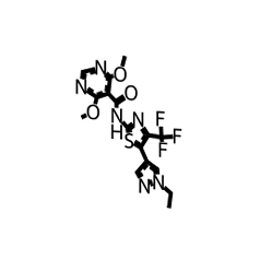 CCn1cc(-c2sc(NC(=O)c3c(OC)ncnc3OC)nc2C(F)(F)F)cn1